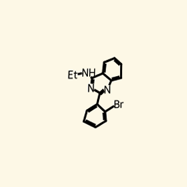 CCNc1nc(-c2ccccc2Br)nc2ccccc12